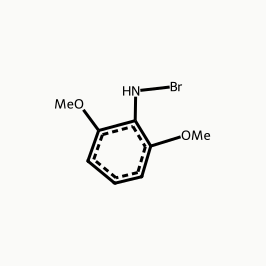 COc1cccc(OC)c1NBr